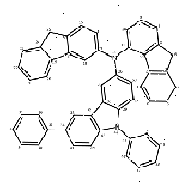 C1=CC2=C(CC1)Cc1cccc(N(c3ccc4c(c3)-c3ccccc3C4)c3ccc4c(c3)c3cc(-c5ccccc5)ccc3n4-c3ccccc3)c12